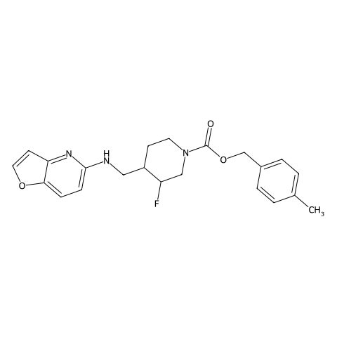 Cc1ccc(COC(=O)N2CCC(CNc3ccc4occc4n3)C(F)C2)cc1